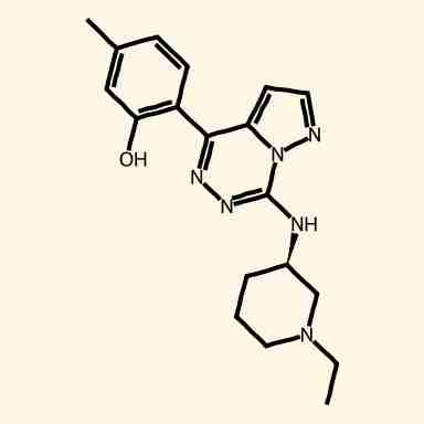 CCN1CCC[C@@H](Nc2nnc(-c3ccc(C)cc3O)c3ccnn23)C1